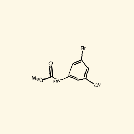 COC(=O)Nc1cc(Br)cc(C#N)c1